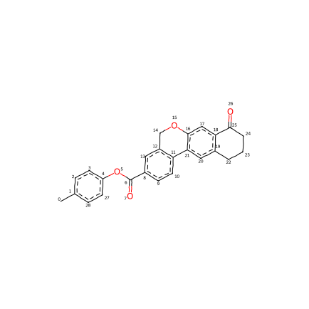 Cc1ccc(OC(=O)c2ccc3c(c2)COc2cc4c(cc2-3)CCCC4=O)cc1